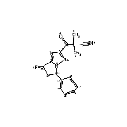 CC(C)(C#N)C(=O)c1nc2n(n1)C(c1ccccc1)CC2F